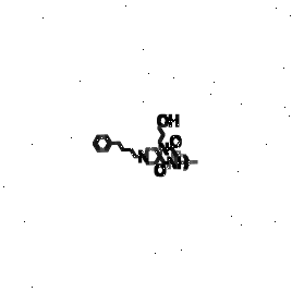 CC(C)C[C@@H]1NC(=O)C2(CCN(CCCCc3ccccc3)CC2)N(CCCO)C1=O